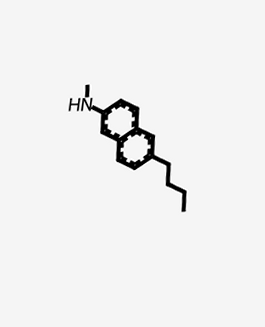 CCCCc1ccc2cc(NC)ccc2c1